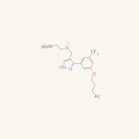 CNCCN(C)Cc1c[nH]nc1-c1cc(OCCCC(C)=O)cc(C(F)(F)F)c1